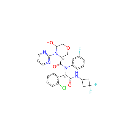 O=C(NC1CC(F)(F)C1)[C@H](c1ccccc1Cl)N(C(=O)[C@@H]1COCC(O)N1c1ncccn1)c1cccc(F)c1